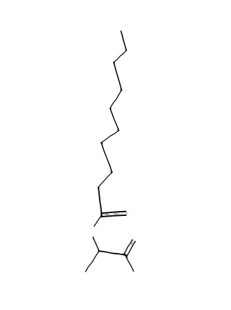 CCCCCCCCCC(=O)OC(C)C(=O)O